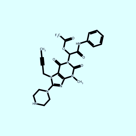 CC#CCn1c(N2CCNCC2)nc2c1c(=O)n(C(OC(=O)C(F)(F)F)C(=O)Nc1ccccc1)c(=O)n2C